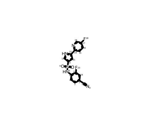 N#Cc1ccc(NS(=O)(=O)c2c[nH]c(-c3ccc(F)cn3)c2)c(F)c1